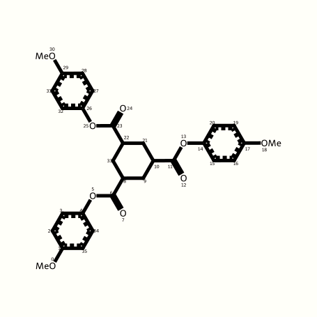 COc1ccc(OC(=O)C2CC(C(=O)Oc3ccc(OC)cc3)CC(C(=O)Oc3ccc(OC)cc3)C2)cc1